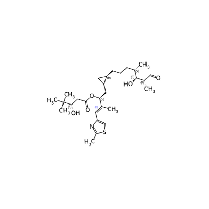 C/C(=C\c1csc(C)n1)[C@H](CC1C[C@H]1CCC[C@H](C)[C@H](O)[C@@H](C)C=O)OC(=O)C[C@H](O)C(C)(C)C